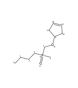 CCCCP(C)(=O)COC1CC=CC1